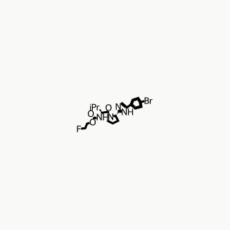 CC(C)[C@H](NC(=O)OCCF)C(=O)N1CCC[C@H]1c1ncc(-c2ccc(Br)cc2)[nH]1